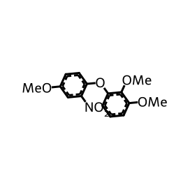 COc1ccc(Oc2cccc(OC)c2OC)c([N+](=O)[O-])c1